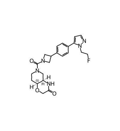 O=C1CO[C@H]2CCN(C(=O)N3CC(c4ccc(-c5ccnn5CCF)cc4)C3)C[C@H]2N1